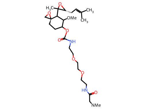 CNCC(=O)NCCOCCOCCNC(=O)OC1CC[C@]2(CO2)C(C2(C)O[C@@H]2CC=C(C)C)C1OC